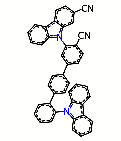 N#Cc1ccc2c3ccccc3n(-c3cc(-c4ccc(-c5ccccc5-n5c6ccccc6c6ccccc65)cc4)ccc3C#N)c2c1